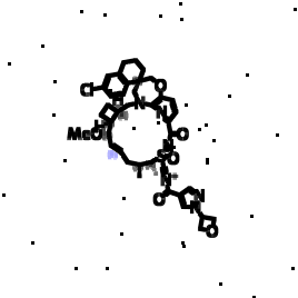 CO[C@H]1/C=C/C[C@H](C)[C@@H](C)S(=O)(C#[N+]C(=O)c2cnn(C3COC3)c2)=NC(=O)c2ccc3c(n2)N(C[C@@H]2CC[C@H]21)C[C@@]1(CCCc2cc(Cl)ccc21)CO3